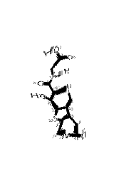 O=C(O)CNC(=O)c1ncc2c(sc3cnc(Cl)cc32)c1O